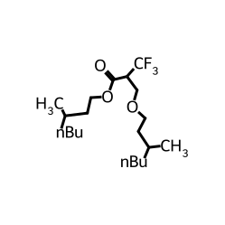 CCCCC(C)CCOCC(C(=O)OCCC(C)CCCC)C(F)(F)F